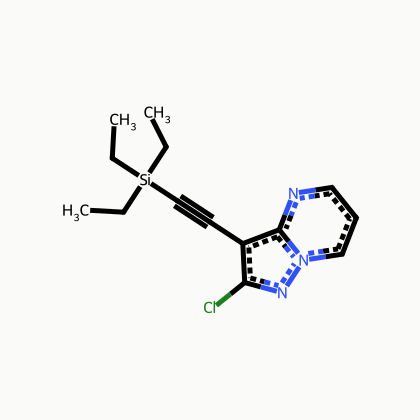 CC[Si](C#Cc1c(Cl)nn2cccnc12)(CC)CC